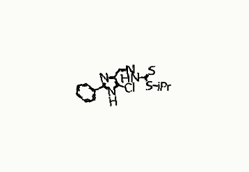 CC(C)SC(=S)N/N=C\c1nc(-c2ccccc2)[nH]c1Cl